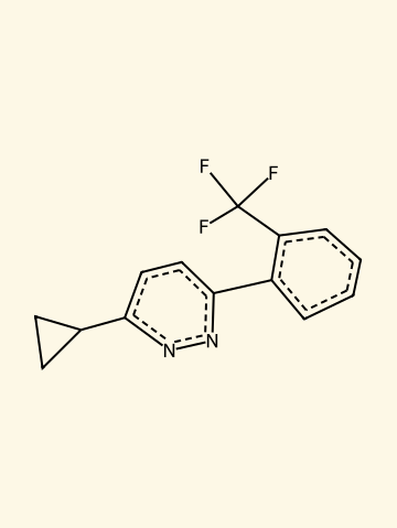 FC(F)(F)c1ccccc1-c1ccc(C2CC2)nn1